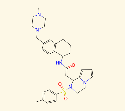 Cc1ccc(S(=O)(=O)N2CCn3cccc3C2CC(=O)NC2CCCc3cc(CN4CCN(C)CC4)ccc32)cc1